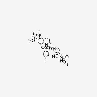 CCOC(=O)NCC1(O)CCN(C(=O)C[C@@H]2CCc3cc(C(C)(O)C(F)(F)F)ccc3N2S(=O)(=O)c2ccc(F)cc2)C1